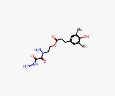 CC(C)(C)c1cc(CCC(=O)OCCN(N)C(=O)C(=O)NN)cc(C(C)(C)C)c1O